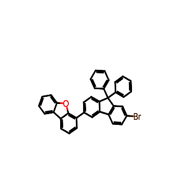 Brc1ccc2c(c1)C(c1ccccc1)(c1ccccc1)c1ccc(-c3cccc4c3oc3ccccc34)cc1-2